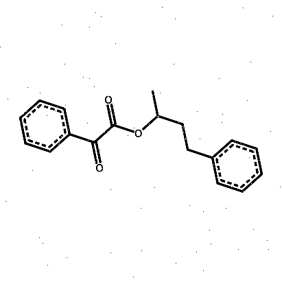 CC(CCc1ccccc1)OC(=O)C(=O)c1ccccc1